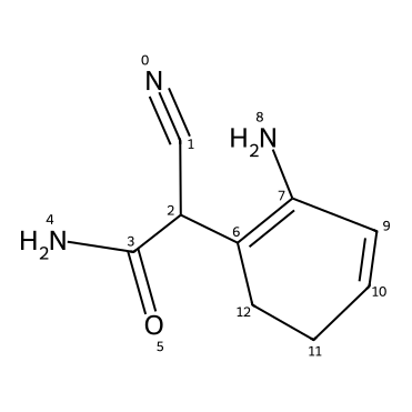 N#CC(C(N)=O)C1=C(N)C=CCC1